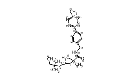 CCC(C)(C)COCC(C)(C)C(=O)NCc1ccc(-c2nnc(C)nn2)cc1